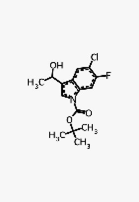 CC(O)c1cn(C(=O)OC(C)(C)C)c2cc(F)c(Cl)cc12